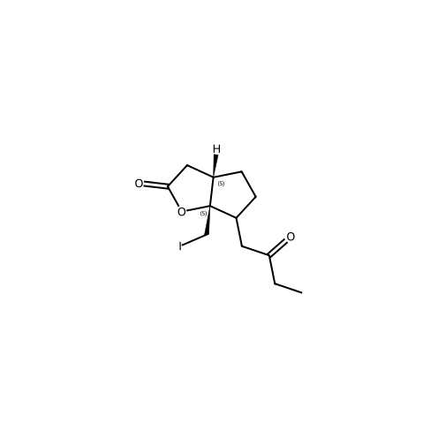 CCC(=O)CC1CC[C@H]2CC(=O)O[C@@]12CI